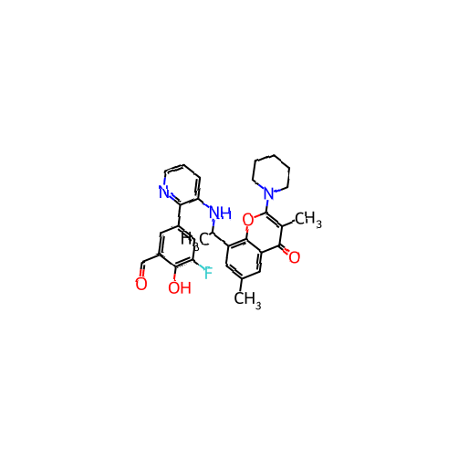 Cc1cc(C(C)Nc2cccnc2-c2cc(F)c(O)c(C=O)c2)c2oc(N3CCCCC3)c(C)c(=O)c2c1